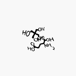 N[C@@H](CCC(=O)O)C(=O)O.OCC(CO)(CO)CO